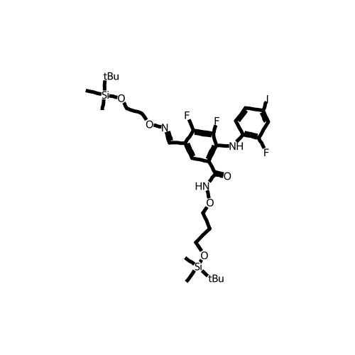 CC(C)(C)[Si](C)(C)OCCCONC(=O)c1cc(/C=N/OCCO[Si](C)(C)C(C)(C)C)c(F)c(F)c1Nc1ccc(I)cc1F